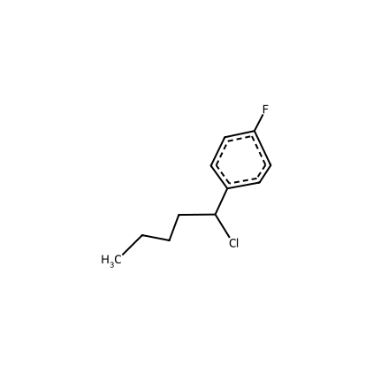 CCCCC(Cl)c1ccc(F)cc1